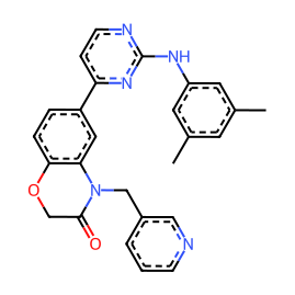 Cc1cc(C)cc(Nc2nccc(-c3ccc4c(c3)N(Cc3cccnc3)C(=O)CO4)n2)c1